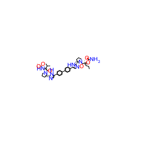 CCC[C@](C)(OC(N)=O)C(=O)N1CCC[C@H]1c1ncc(-c2ccc(-c3ccc(-c4cnc([C@@H]5CCCN5C(=O)[C@@H](NC(=O)OC)C(C)C)[nH]4)cc3)cc2)[nH]1